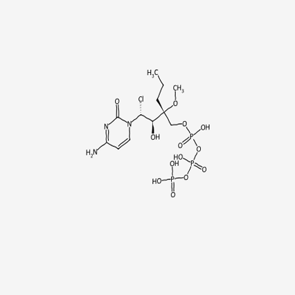 CCC[C@](COP(=O)(O)OP(=O)(O)OP(=O)(O)O)(OC)[C@@H](O)[C@@H](Cl)n1ccc(N)nc1=O